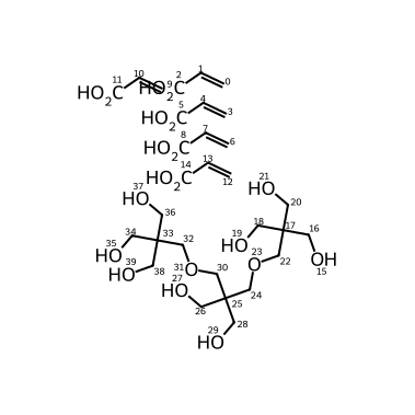 C=CC(=O)O.C=CC(=O)O.C=CC(=O)O.C=CC(=O)O.C=CC(=O)O.OCC(CO)(CO)COCC(CO)(CO)COCC(CO)(CO)CO